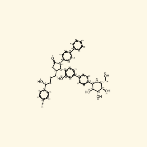 O=C1C[C@H](CCC[C@H](O)c2ccc(F)cc2)[C@@H](c2ccc(-c3ccc(C4O[C@H](CO)[C@@H](O)[C@H](O)[C@H]4O)cc3)cc2O)N1c1ccc(-c2ccccc2)cc1